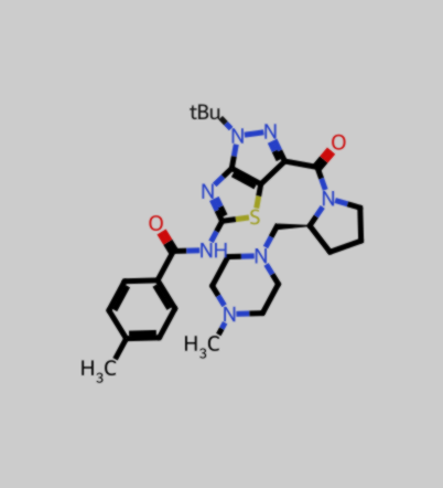 Cc1ccc(C(=O)Nc2nc3c(s2)c(C(=O)N2CCC[C@H]2CN2CCN(C)CC2)nn3C(C)(C)C)cc1